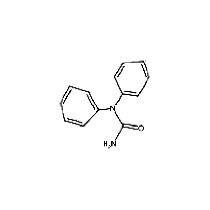 NC(=O)N(c1cc[c]cc1)c1ccccc1